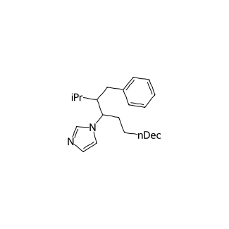 CCCCCCCCCCCCC(C(Cc1ccccc1)C(C)C)n1ccnc1